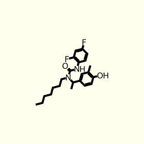 CCCCCCCN(C(=O)Nc1ccc(F)cc1F)C(C)c1ccc(O)c(C)c1